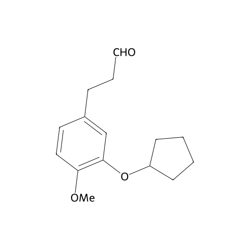 COc1ccc(CCC=O)cc1OC1CCCC1